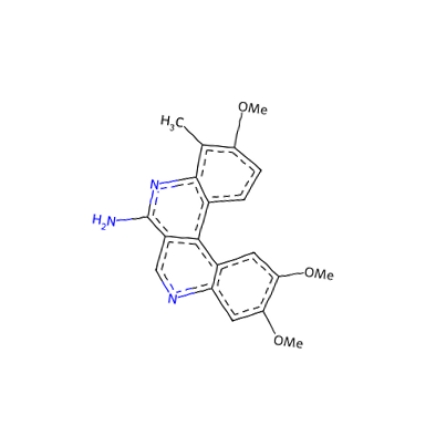 COc1cc2ncc3c(N)nc4c(C)c(OC)ccc4c3c2cc1OC